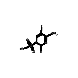 CCCS(=O)(=O)n1cc(F)c(N)nc1=O